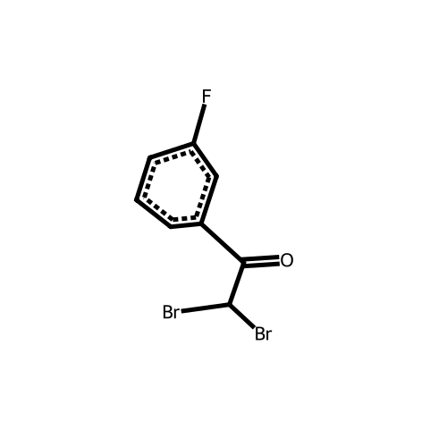 O=C(c1cccc(F)c1)C(Br)Br